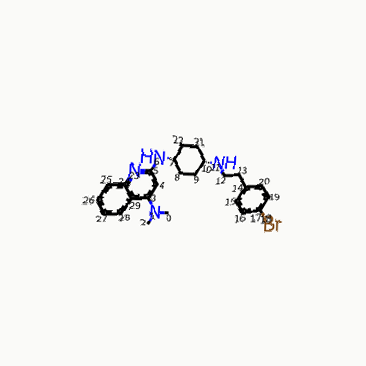 CN(C)c1cc(N[C@H]2CC[C@@H](NCCc3ccc(Br)cc3)CC2)nc2ccccc12